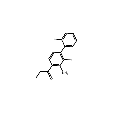 CCC(=O)c1ccc(-c2ccccc2C)c(C)c1N